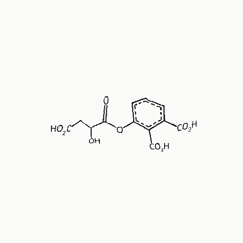 O=C(O)CC(O)C(=O)Oc1cccc(C(=O)O)c1C(=O)O